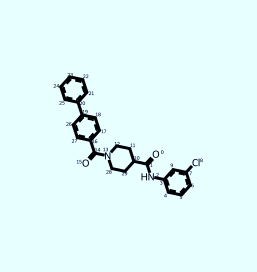 O=C(Nc1cccc(Cl)c1)C1CCN(C(=O)c2ccc(-c3ccccc3)cc2)CC1